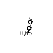 NC(=O)c1ccc(-n2ccc(=O)cc2)cc1